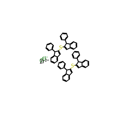 C1=C(SC2=Cc3ccccc3C2c2ccccc2)C(c2ccccc2)c2ccccc21.C1=C(SC2=Cc3ccccc3C2c2ccccc2)C(c2ccccc2)c2ccccc21.[Cl-].[Cl-].[Zr+2]